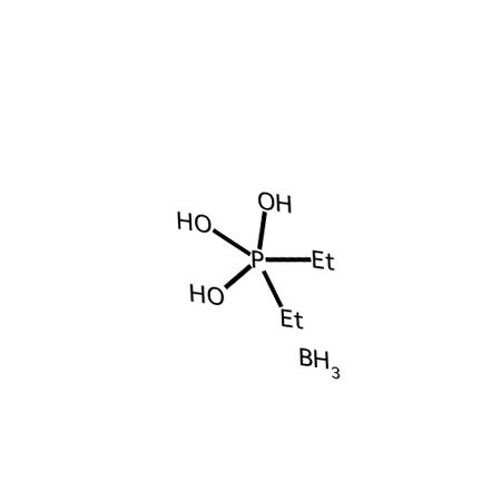 B.CCP(O)(O)(O)CC